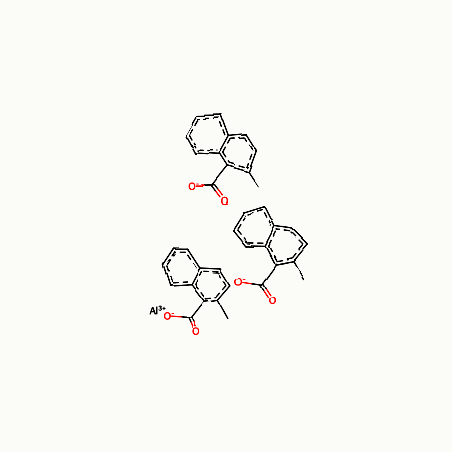 Cc1ccc2ccccc2c1C(=O)[O-].Cc1ccc2ccccc2c1C(=O)[O-].Cc1ccc2ccccc2c1C(=O)[O-].[Al+3]